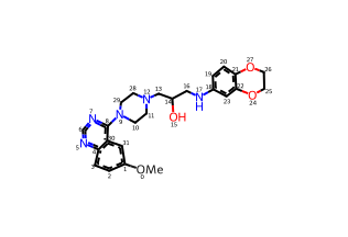 COc1ccc2ncnc(N3CCN(CC(O)CNc4ccc5c(c4)OCCO5)CC3)c2c1